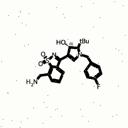 CC(C)(C)C1[C@@H](O)C(C2=NS(=O)(=O)c3c(CN)cccc32)=CN1Cc1ccc(F)cc1